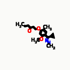 C=N/N=C(/c1cc(C)c(OCCC(=O)CCC)cc1OC)C1CC1